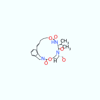 CC(C)[C@@H]1NC(=O)OCCC/C=C/c2cccc3c2CN(C3)C(=O)O[C@@H]2C[C@@H](C=O)N(C2)C1=O